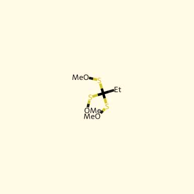 [CH2]CC(SOC)(SOC)SOC